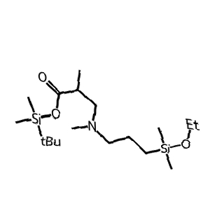 CCO[Si](C)(C)CCCN(C)CC(C)C(=O)O[Si](C)(C)C(C)(C)C